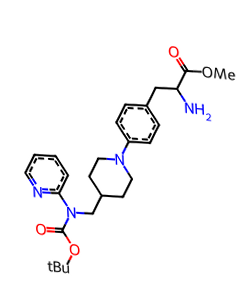 COC(=O)C(N)Cc1ccc(N2CCC(CN(C(=O)OC(C)(C)C)c3ccccn3)CC2)cc1